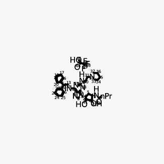 CCCC(=O)N[C@H]1C[C@@H](n2cnc3c(NCC(c4ccccc4)c4ccccc4)nc(NCCN4CCCCC4)nc32)[C@H](O)[C@@H]1O.O=C(O)C(F)(F)F